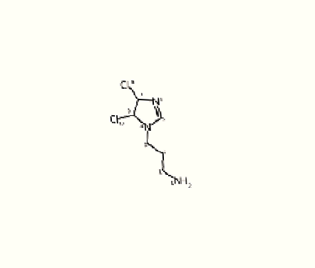 NCCCN1C=NC(Cl)C1Cl